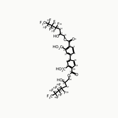 O=C(O)c1cc(-c2ccc(C(=O)OCC(O)CC(F)(F)C(F)(F)C(F)(F)C(F)(F)F)c(C(=O)O)c2)ccc1C(=O)OCC(O)CC(F)(F)C(F)(F)C(F)(F)C(F)(F)F